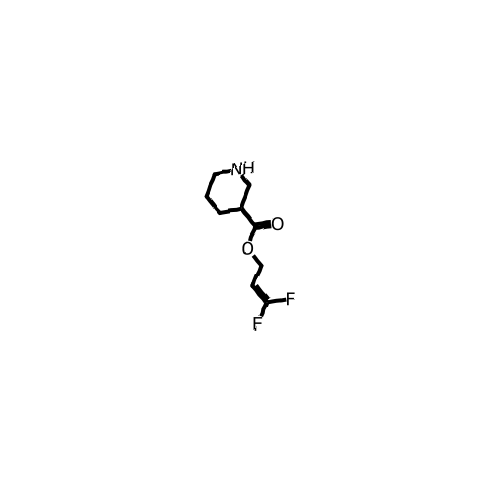 O=C(OCC=C(F)F)C1CCCNC1